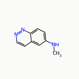 CNc1ccc2nnccc2c1